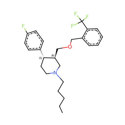 CCCCCN1CC[C@H](c2ccc(F)cc2)[C@@H](COCc2ccccc2C(F)(F)F)C1